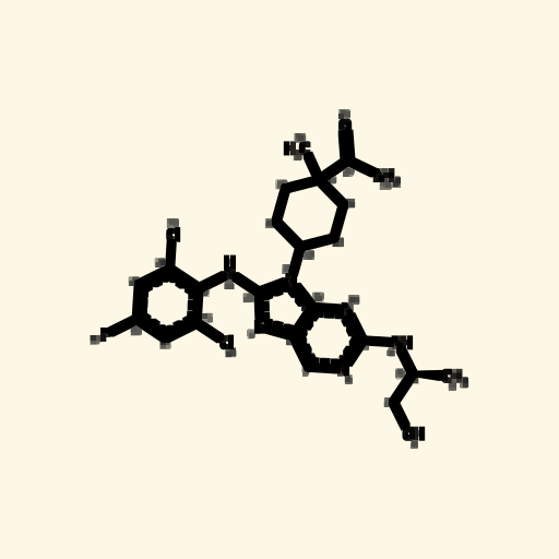 C[C@@H](CO)Nc1ncc2nc(Nc3c(Cl)cc(F)cc3Cl)n(C3CCC(C)(C(N)=O)CC3)c2n1